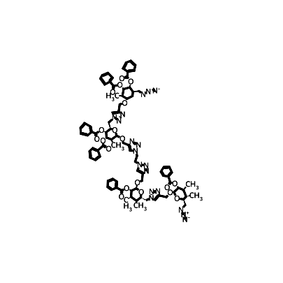 C[C@H]1[C@H](C)[C@@H](CN=[N+]=[N-])O[C@H](OCc2cn(C[C@H]3O[C@H](OCc4cn(CCn5cc(COC6O[C@H](Cn7cc(CO[C@H]8C[C@H](CN=[N+]=[N-])[C@@H](OC(=O)c9ccccc9)[C@H](OC(=O)c9ccccc9)[C@@H]8C)nn7)[C@@H](OC(=O)c7ccccc7)[C@H](OC(=O)c7ccccc7)[C@@H]6C)nn5)nn4)[C@@H](OC(=O)c4ccccc4)[C@@H](C)[C@@H]3C)nn2)[C@H]1OC(=O)c1ccccc1